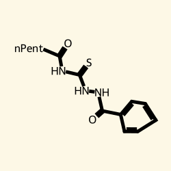 CCCCCC(=O)NC(=S)NNC(=O)c1ccccc1